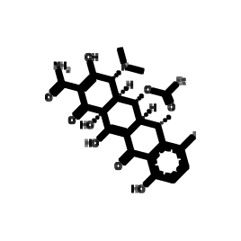 CCC(=O)O[C@@H]1[C@@H]2C(=C(O)[C@@]3(O)C(=O)C(C(N)=O)=C(O)[C@H](N(C)C)[C@@H]13)C(=O)c1c(O)ccc(I)c1[C@H]2C